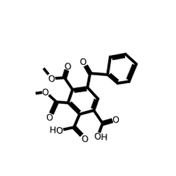 COC(=O)c1c(C(=O)c2ccccc2)cc(C(=O)O)c(C(=O)O)c1C(=O)OC